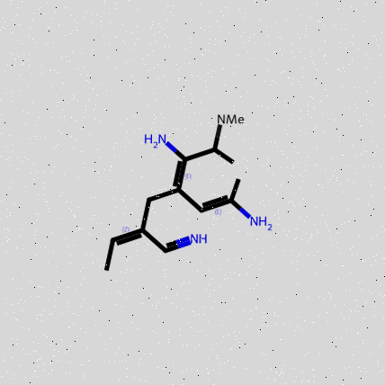 C/C=C(\C=N)CC(/C=C(\C)N)=C(\N)C(C)NC